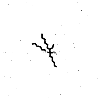 CCCCCCPC(P)(CCCCCC)C(CC)CCCCCC